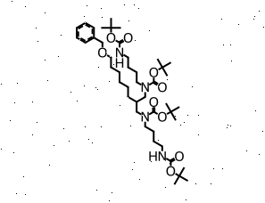 CC(C)(C)OC(=O)NCCCCN(CC(CCCCCCOCc1ccccc1)CN(CCCCNC(=O)OC(C)(C)C)C(=O)OC(C)(C)C)C(=O)OC(C)(C)C